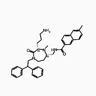 Cc1ccc2cc(C(=O)NC[C@@H]3CCN(CC(c4ccccc4)c4ccccc4)C(=O)[C@H](CCCN)N3C)ccc2c1